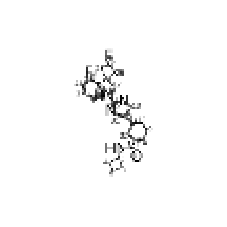 O=C(NC1CCC1)c1cccc(-c2cnc(NC[C@]3(c4ncccc4F)C[C@H](F)C3)nc2)c1